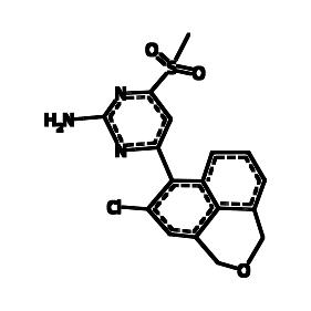 CS(=O)(=O)c1cc(-c2c(Cl)cc3c4c(cccc24)COC3)nc(N)n1